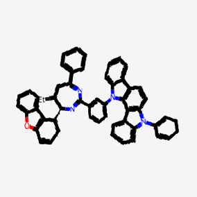 CCC1CC(c2ccccc2)=NC(c2cccc(-n3c4ccccc4c4ccc5c(c6ccccc6n5C5=CCCC=C5)c43)c2)=N[C@H]1C1CC=Cc2oc3ccccc3c21